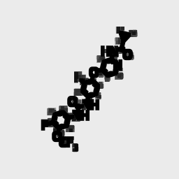 O=C(Nc1ccc(Oc2ccnc(NC(=O)C3CC3)c2)c(F)c1)Nc1ccc(F)c(OC(F)(F)F)c1